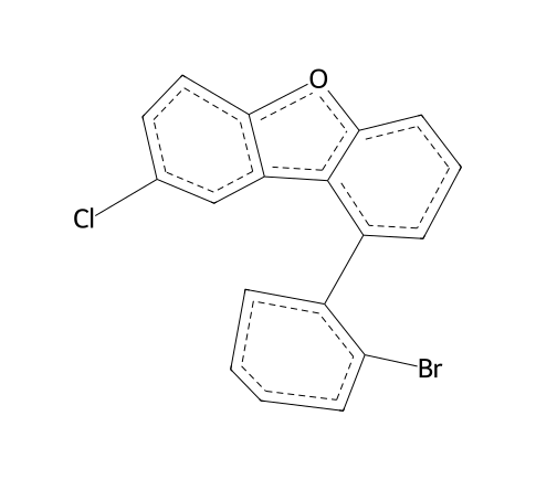 Clc1ccc2oc3cccc(-c4ccccc4Br)c3c2c1